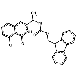 CC(NC(=O)OCC1c2ccccc2-c2ccccc21)c1cc2cccc(Cl)c2c(=O)[nH]1